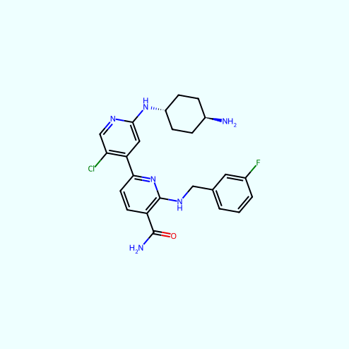 NC(=O)c1ccc(-c2cc(N[C@H]3CC[C@H](N)CC3)ncc2Cl)nc1NCc1cccc(F)c1